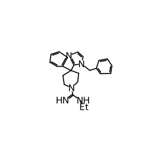 CCNC(=N)N1CCC(c2ccccc2)(c2nccn2Cc2ccccc2)CC1